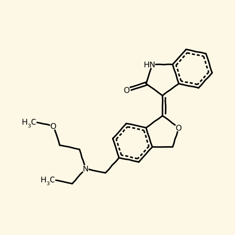 CCN(CCOC)Cc1ccc2c(c1)COC2=C1C(=O)Nc2ccccc21